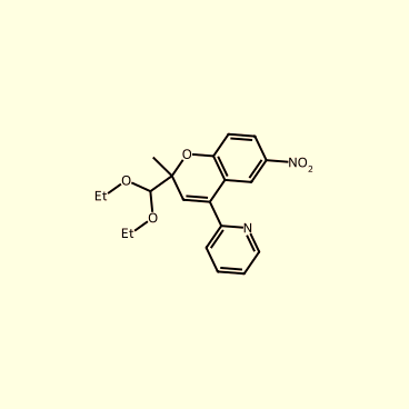 CCOC(OCC)C1(C)C=C(c2ccccn2)c2cc([N+](=O)[O-])ccc2O1